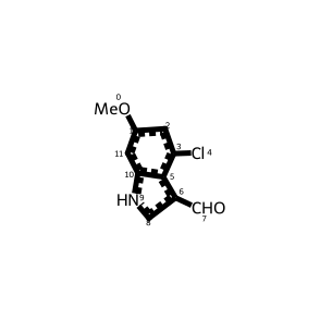 COc1cc(Cl)c2c(C=O)c[nH]c2c1